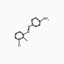 Cc1c(Cl)cccc1N=Nc1ccc(N)cc1